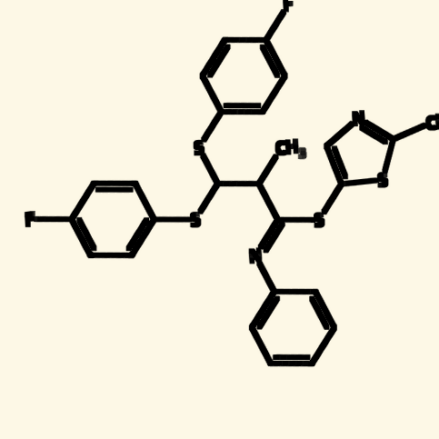 CC(C(=Nc1ccccc1)Sc1cnc(Cl)s1)C(Sc1ccc(F)cc1)Sc1ccc(F)cc1